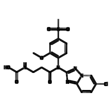 COc1cc(S(C)(=O)=O)ccc1N(C(=O)CCNC(=O)O)c1nc2ccc(Cl)cn2n1